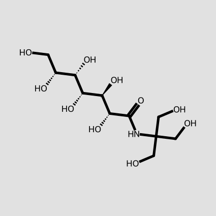 O=C(NC(CO)(CO)CO)[C@H](O)[C@H](O)[C@H](O)[C@@H](O)[C@H](O)CO